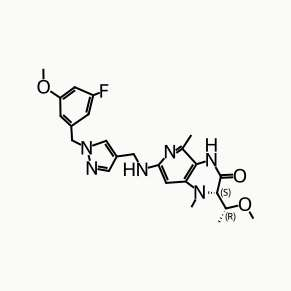 COc1cc(F)cc(Cn2cc(CNc3cc4c(c(C)n3)NC(=O)[C@H]([C@@H](C)OC)N4C)cn2)c1